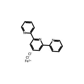 [Cl-].[Cl-].[Fe+2].c1ccc(-c2cccc(-c3ccccn3)n2)nc1